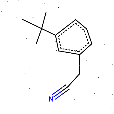 CC(C)(C)c1cccc(CC#N)c1